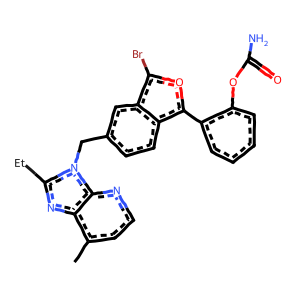 CCc1nc2c(C)ccnc2n1Cc1ccc2c(-c3ccccc3OC(N)=O)oc(Br)c2c1